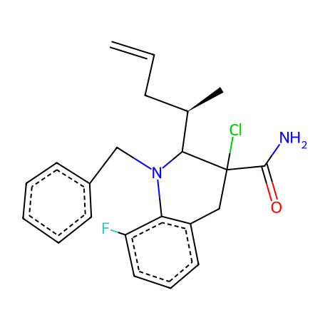 C=CC[C@@H](C)C1N(Cc2ccccc2)c2c(F)cccc2CC1(Cl)C(N)=O